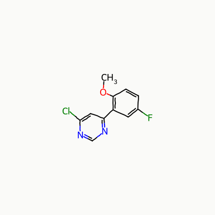 COc1ccc(F)cc1-c1cc(Cl)ncn1